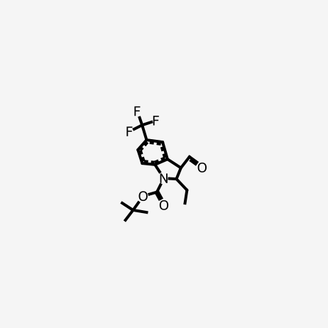 CCC1C(C=O)c2cc(C(F)(F)F)ccc2N1C(=O)OC(C)(C)C